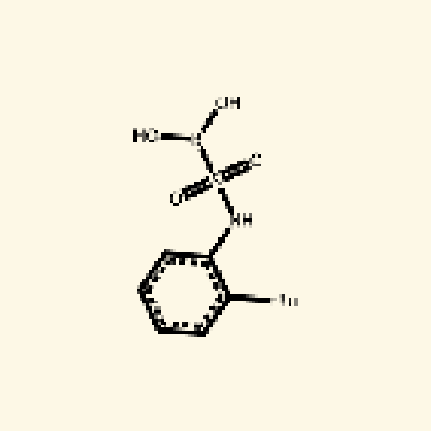 CC(C)(C)c1ccccc1NS(=O)(=O)B(O)O